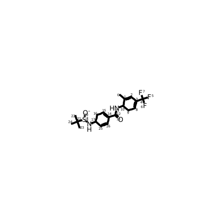 CC1=CC(C(F)(F)F)=CCC1NC(=O)C1=CCC(N[S+]([O-])C(C)(C)C)C=C1